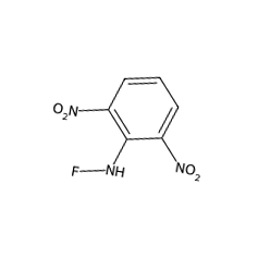 O=[N+]([O-])c1cccc([N+](=O)[O-])c1NF